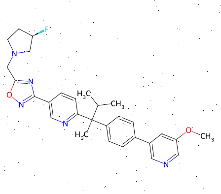 COc1cncc(-c2ccc(C(C)(c3ccc(-c4noc(CN5CC[C@@H](F)C5)n4)cn3)C(C)C)cc2)c1